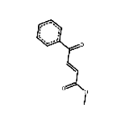 COC(=O)C=CC(=O)c1ccccc1